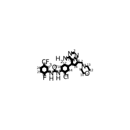 Nc1ncnn2c(CN3CCOCC3)cc(-c3ccc(NC(=O)Nc4cc(C(F)(F)F)ccc4F)c(Cl)c3)c12